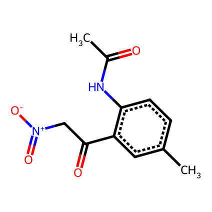 CC(=O)Nc1ccc(C)cc1C(=O)C[N+](=O)[O-]